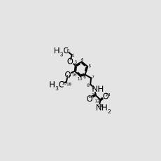 CCOc1ccc(CCNC(=O)C(N)=O)cc1OCC